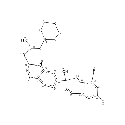 C[C@H](CN1CCCCC1)Oc1ncc2ccc(C3(O)C=Cc4cc(Cl)cc(F)c4C3)cc2n1